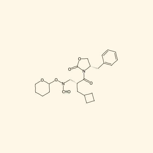 O=CN(C[C@@H](CC1CCC1)C(=O)N1C(=O)OC[C@@H]1Cc1ccccc1)OC1CCCCO1